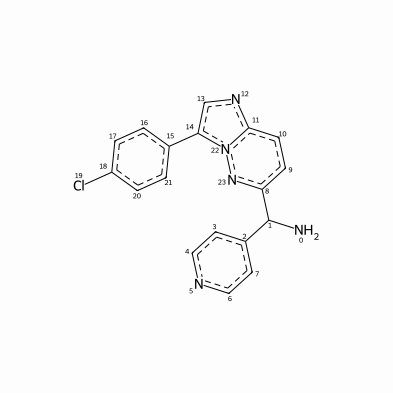 NC(c1ccncc1)c1ccc2ncc(-c3ccc(Cl)cc3)n2n1